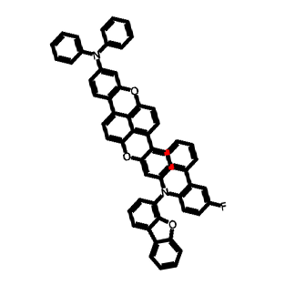 Fc1ccc(N(c2ccc3c(c2)Oc2ccc4c5c(ccc-3c25)Oc2cc(N(c3ccccc3)c3ccccc3)ccc2-4)c2cccc3c2oc2ccccc23)c(-c2ccccc2)c1